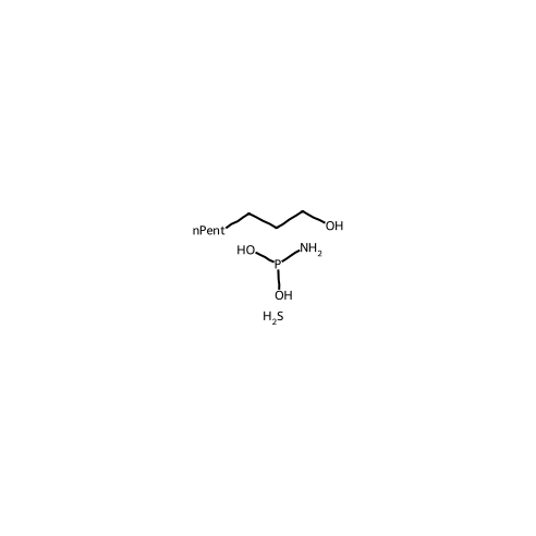 CCCCCCCCO.NP(O)O.S